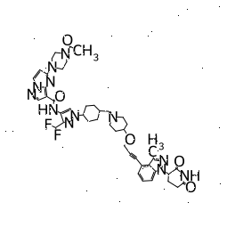 CC(=O)N1CCN(c2ccn3ncc(C(=O)Nc4cn(C5CCC(CN6CCC(OCC#Cc7cccc8c7c(C)nn8C7CCC(=O)NC7=O)CC6)CC5)nc4C(F)F)c3n2)CC1